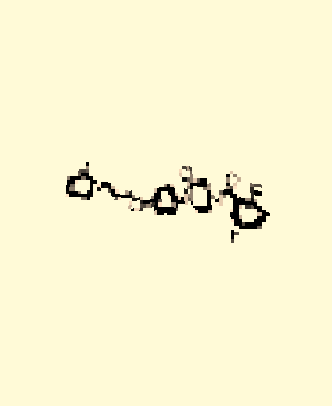 C[C@@H]1CCCN1CCCOc1ccc(N2CCN(C(=O)c3cc(F)ccc3F)CC2=O)cc1